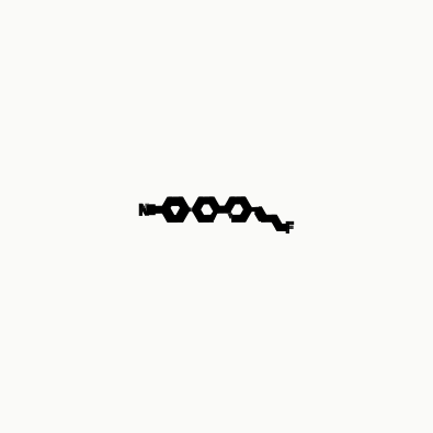 N#Cc1ccc([C@H]2CC[C@H]([C@H]3CC[C@H](C=CCCF)CC3)CC2)cc1